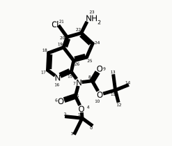 CC(C)(C)OC(=O)N(C(=O)OC(C)(C)C)c1nccc2c(Cl)c(N)ccc12